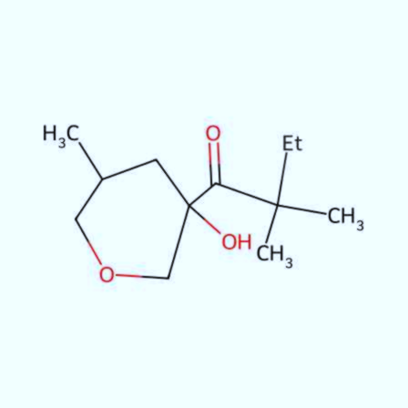 CCC(C)(C)C(=O)C1(O)COCC(C)C1